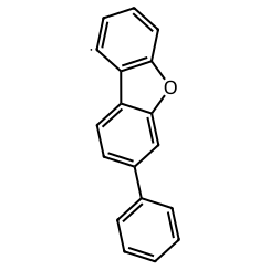 [c]1cccc2oc3cc(-c4ccccc4)ccc3c12